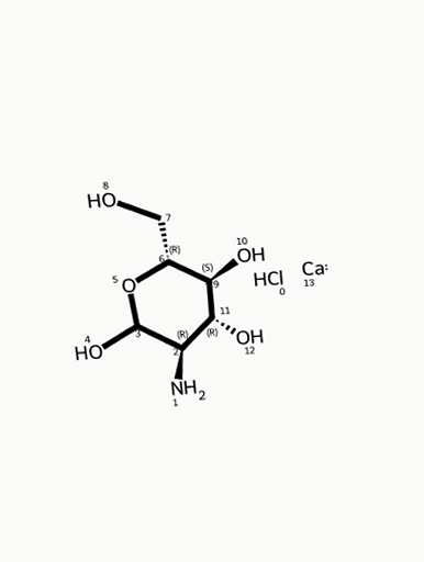 Cl.N[C@H]1C(O)O[C@H](CO)[C@@H](O)[C@@H]1O.[Ca]